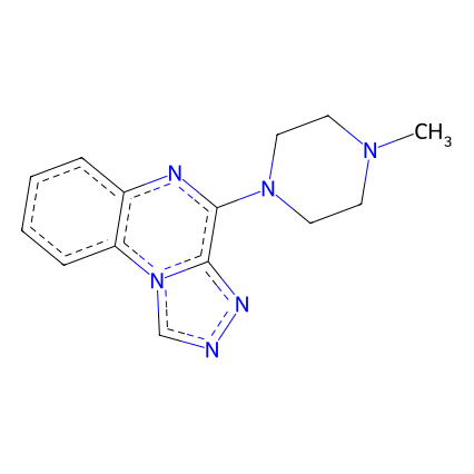 CN1CCN(c2nc3ccccc3n3cnnc23)CC1